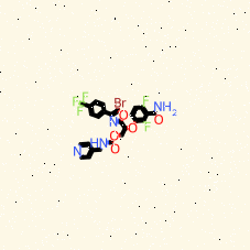 NC(=O)c1c(F)ccc(OC(COC(=O)NCc2ccncc2)c2nc(-c3ccc(C(F)(F)F)cc3)c(Br)o2)c1F